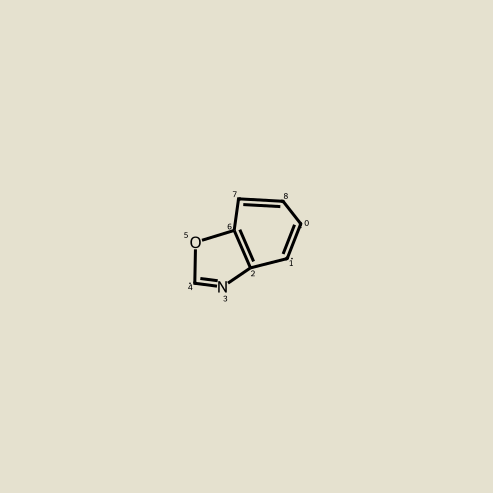 [c]1[c]c2n[c]oc2cc1